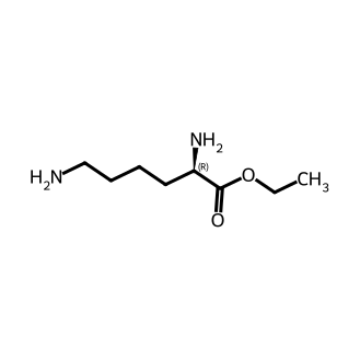 CCOC(=O)[C@H](N)CCCCN